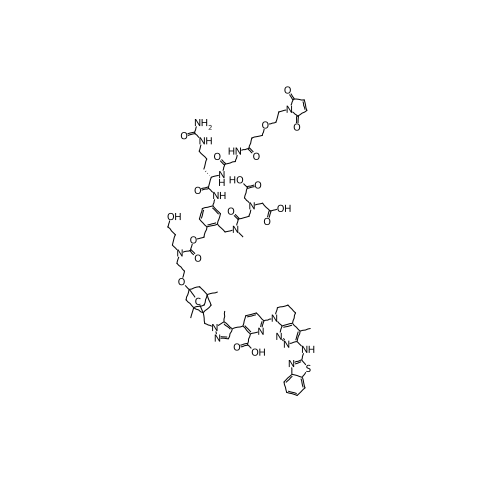 Cc1c(Nc2nc3ccccc3s2)nnc2c1CCCN2c1ccc(-c2cnn(CC34CC5(C)CC(OCCN(CCCO)C(=O)OCc6ccc(NC(=O)[C@H](CCCNC(N)=O)NC(=O)CNC(=O)CCOCCN7C(=O)C=CC7=O)cc6CN(C)C(=O)CN(CC(=O)O)CC(=O)O)(CC3(C)C5)C4)c2C)c(C(=O)O)n1